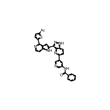 CC(=O)c1ccc(-c2nccc3[nH]c(-c4n[nH]c5ccc(-c6cncc(NC(=O)c7ccccc7)c6)nc45)cc23)s1